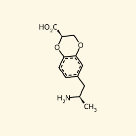 C[C@@H](N)Cc1ccc2c(c1)OC[C@H](C(=O)O)O2